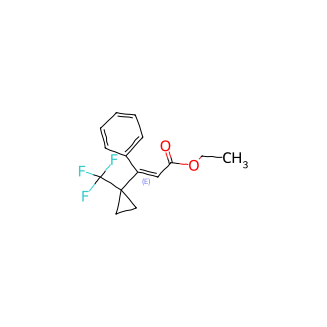 CCOC(=O)/C=C(\c1ccccc1)C1(C(F)(F)F)CC1